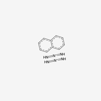 N=[N+]=N.N=[N+]=N.c1ccc2ccccc2c1